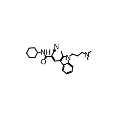 Cc1c(C=C(C#N)C(=O)NC2CCCCC2)c2ccccc2n1CCCN(C)C